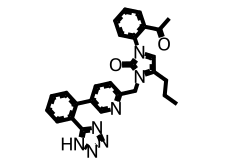 CCCc1cn(-c2ccccc2C(C)=O)c(=O)n1Cc1ccc(-c2ccccc2-c2nnn[nH]2)cn1